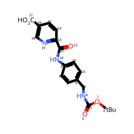 CC(C)(C)OC(=O)NCc1ccc(NC(=O)c2ccc(C(=O)O)cn2)cc1